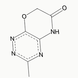 Cc1nnc2c(n1)NC(=O)CO2